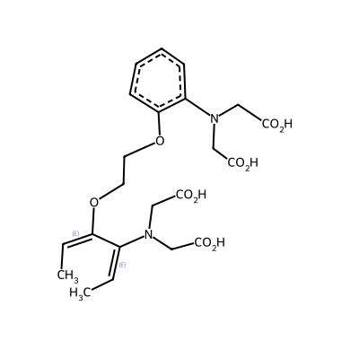 C/C=C(OCCOc1ccccc1N(CC(=O)O)CC(=O)O)\C(=C/C)N(CC(=O)O)CC(=O)O